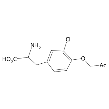 CC(=O)COc1ccc(CC(N)C(=O)O)cc1Cl